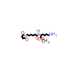 COC(=O)C(CCCCN)NC(=O)CCCCCN1C(=O)C=CC1=O